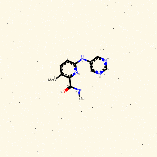 COc1ccc(Nc2cncnc2)nc1C(=O)NC(C)(C)C